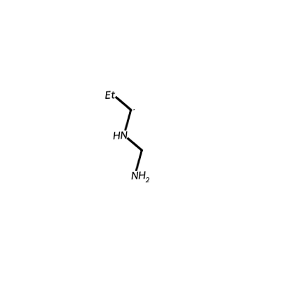 CC[CH]NCN